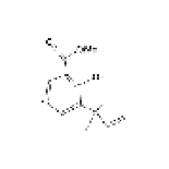 C=CC(C)(C)c1c[c]cc(C(=O)OC)c1O